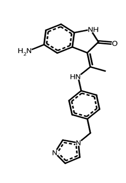 CC(Nc1ccc(Cn2ccnc2)cc1)=C1C(=O)Nc2ccc(N)cc21